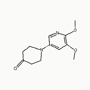 COc1cc(N2CCC(=O)CC2)cnc1OC